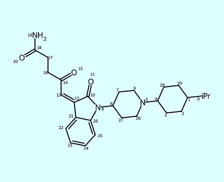 CC(C)C1CCC(N2CCC(N3C(=O)C(=CC(=O)CCC(N)=O)c4ccccc43)CC2)CC1